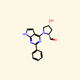 O=C[C@@H]1C[C@@H](O)CN1c1nc(-c2ccccc2)nc2[nH]ccc12